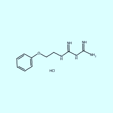 Cl.N=C(N)NC(=N)NCCOc1ccccc1